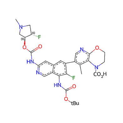 Cc1c(-c2cc3cc(NC(=O)O[C@H]4CN(C)C[C@@H]4F)ncc3c(NC(=O)OC(C)(C)C)c2F)cnc2c1N(C(=O)O)CCO2